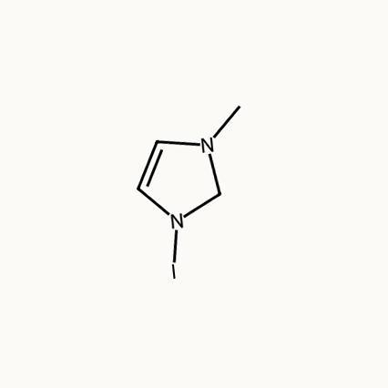 CN1C=CN(I)C1